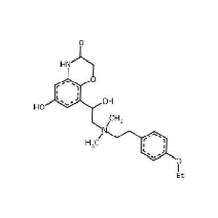 CCOc1ccc(CC[N+](C)(C)CC(O)c2cc(O)cc3c2OCC(=O)N3)cc1